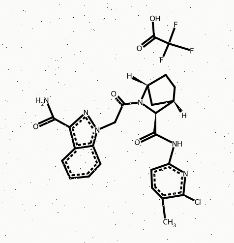 Cc1ccc(NC(=O)[C@@H]2[C@H]3CC[C@H](C3)N2C(=O)Cn2nc(C(N)=O)c3ccccc32)nc1Cl.O=C(O)C(F)(F)F